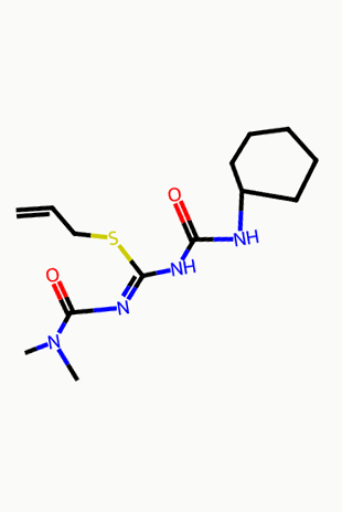 C=CCSC(=NC(=O)N(C)C)NC(=O)NC1CCCCC1